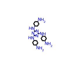 Nc1ccc(Nc2nc(Nc3ccc(N)cc3)nc(Nc3ccc(N)cc3)n2)cc1